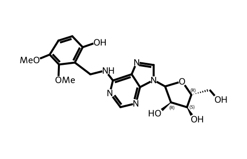 COc1ccc(O)c(CNc2ncnc3c2ncn3C2O[C@H](CO)[C@@H](O)[C@H]2O)c1OC